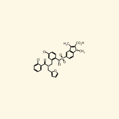 CCN(c1ccc(Cl)cc1CN(Cc1ccco1)C(=O)c1ccccc1Cl)S(=O)(=O)c1ccc2c(c1)c(C)c(C(=O)O)n2C